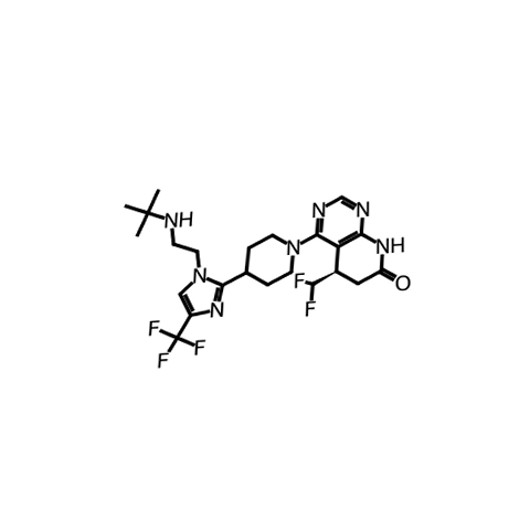 CC(C)(C)NCCn1cc(C(F)(F)F)nc1C1CCN(c2ncnc3c2[C@H](C(F)F)CC(=O)N3)CC1